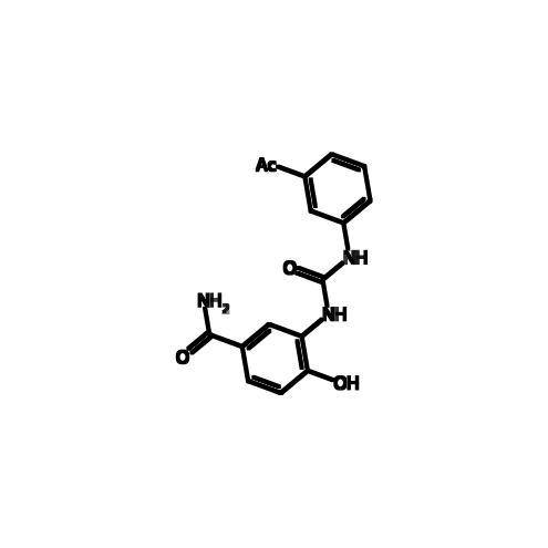 CC(=O)c1cccc(NC(=O)Nc2cc(C(N)=O)ccc2O)c1